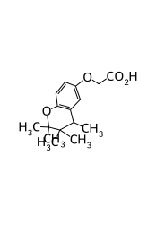 CC1c2cc(OCC(=O)O)ccc2OC(C)(C)C1(C)C